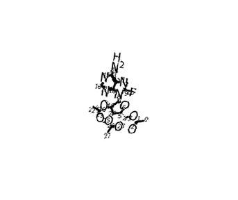 CC(=O)OC[C@H]1O[C@@H](n2c(F)nc3c(N)ncnc32)[C@H](OC(C)=O)[C@@H]1OC(C)=O